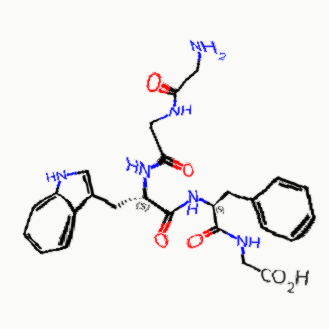 NCC(=O)NCC(=O)N[C@@H](Cc1c[nH]c2ccccc12)C(=O)N[C@@H](Cc1ccccc1)C(=O)NCC(=O)O